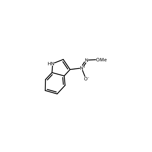 CO/N=[N+](\[O-])c1c[nH]c2ccccc12